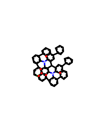 Clc1cc2c3c(c1)N(c1c(-c4ccccc4)cccc1-c1ccccc1)c1ccc(-c4ccccc4)cc1C3c1cc(-c3ccccc3)ccc1N2c1c(-c2ccccc2)cccc1-c1ccccc1